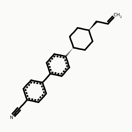 C=CC[C@H]1CC[C@H](c2ccc(-c3ccc(C#N)cc3)cc2)CC1